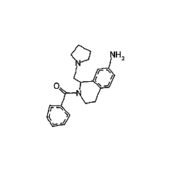 Nc1ccc2c(c1)C(CN1CCCC1)N(C(=O)c1ccccc1)CC2